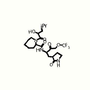 CC(C)CC(O)C(=O)N1CCCCCC1C(=O)NC(CC1CCNC1=O)C(=O)COC(F)(F)F